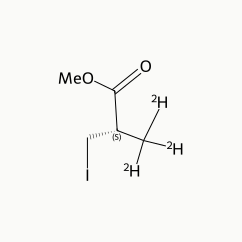 [2H]C([2H])([2H])[C@H](CI)C(=O)OC